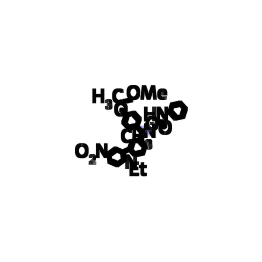 CCn1c2ccc(/C(=N/OC(=O)Nc3ccccc3)c3ccc(OC(C)COC)cc3C)cc2c2cc([N+](=O)[O-])ccc21